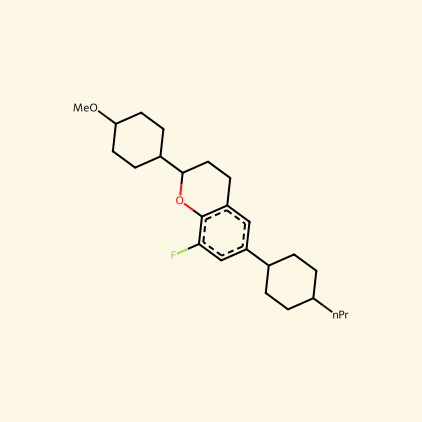 CCCC1CCC(c2cc(F)c3c(c2)CCC(C2CCC(OC)CC2)O3)CC1